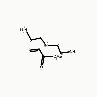 C=CC(=O)OC.NCCNCCN